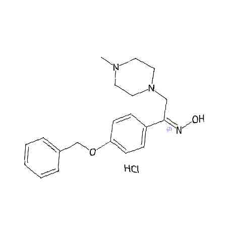 CN1CCN(C/C(=N\O)c2ccc(OCc3ccccc3)cc2)CC1.Cl